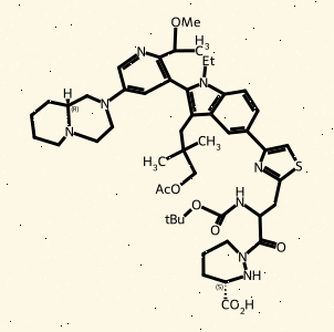 CCn1c(-c2cc(N3CCN4CCCC[C@@H]4C3)cnc2C(C)OC)c(CC(C)(C)COC(C)=O)c2cc(-c3csc(CC(NC(=O)OC(C)(C)C)C(=O)N4CCC[C@@H](C(=O)O)N4)n3)ccc21